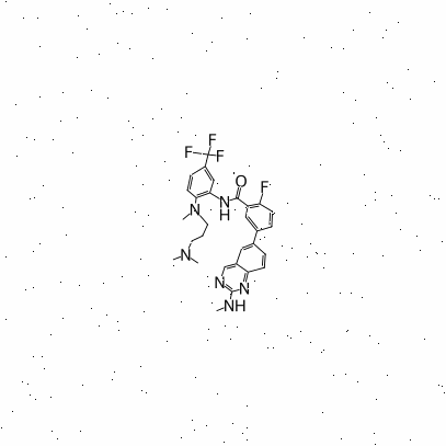 CNc1ncc2cc(-c3ccc(F)c(C(=O)Nc4cc(C(F)(F)F)ccc4N(C)CCCN(C)C)c3)ccc2n1